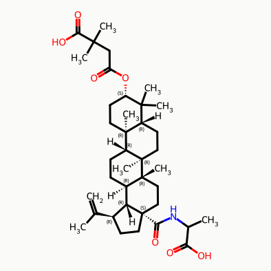 C=C(C)[C@@H]1CC[C@]2(C(=O)NC(C)C(=O)O)CC[C@]3(C)[C@H](CC[C@@H]4[C@@]5(C)CC[C@H](OC(=O)CC(C)(C)C(=O)O)C(C)(C)[C@@H]5CC[C@]43C)[C@@H]12